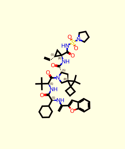 C=C[C@@H]1C[C@]1(NC(=O)[C@@H]1C[C@@]2(CN1C(=O)[C@@H](NC(=O)[C@@H](NC(=C)c1cc3ccccc3o1)C1CCCCC1)C(C)(C)C)C(C)(C)C21CCC1)C(=O)NS(=O)(=O)N1CCCC1